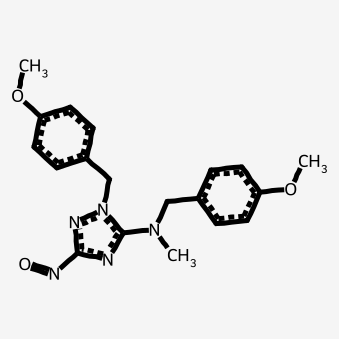 COc1ccc(CN(C)c2nc(N=O)nn2Cc2ccc(OC)cc2)cc1